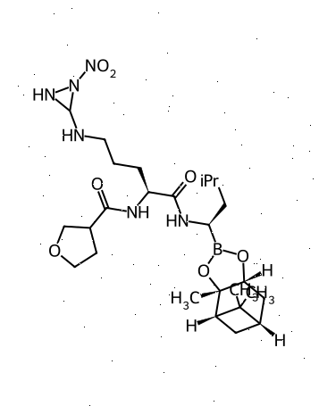 CC(C)C[C@H](NC(=O)[C@H](CCCNC1NN1[N+](=O)[O-])NC(=O)C1CCOC1)B1O[C@@H]2C[C@@H]3C[C@@H](C3(C)C)[C@]2(C)O1